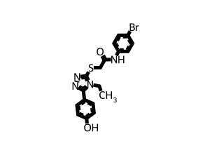 CCn1c(SCC(=O)Nc2ccc(Br)cc2)nnc1-c1ccc(O)cc1